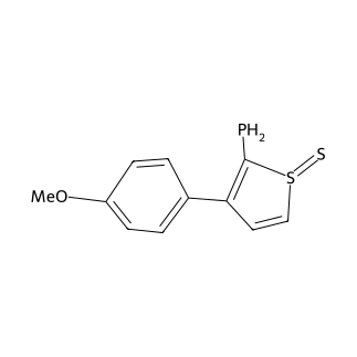 COc1ccc(C2=C(P)S(=S)C=C2)cc1